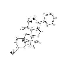 CC(C)(C)[C@@]1(Cc2ccc(N)cc2)CC[C@H]([C@H](O)c2ccccc2)N1C(=O)O